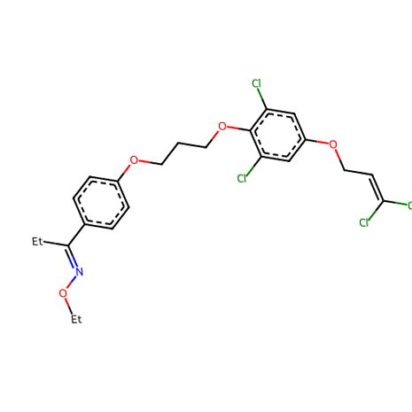 CCON=C(CC)c1ccc(OCCCOc2c(Cl)cc(OCC=C(Cl)Cl)cc2Cl)cc1